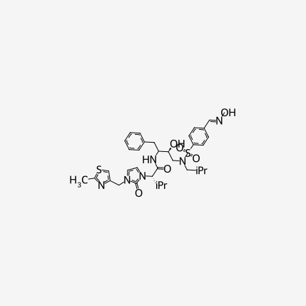 Cc1nc(Cn2ccn([C@H](C(=O)NC(Cc3ccccc3)[C@@H](O)CN(CC(C)C)S(=O)(=O)c3ccc(C=NO)cc3)C(C)C)c2=O)cs1